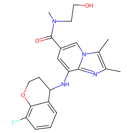 Cc1nc2c(NC3CCOc4c(F)cccc43)cc(C(=O)N(C)CCO)cn2c1C